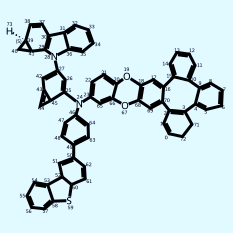 C1=Cc2c(c3ccccc3c3ccccc3c3cc4oc5ccc(N(C6=CC(n7c8c(c9ccccc97)C=C[C@@H]7CC87)=CC7=CC76)c6ccc(C7=CC8c9ccccc9SC8C=C7)cc6)cc5oc4cc23)CC1